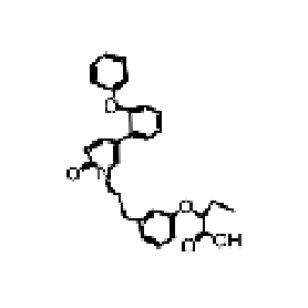 CCC(Oc1cccc(CCCn2cc(-c3ccccc3Oc3ccccc3)ccc2=O)c1)C(=O)O